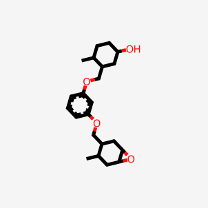 CC1CCC(O)CC1COc1cccc(OCC2CC3OC3CC2C)c1